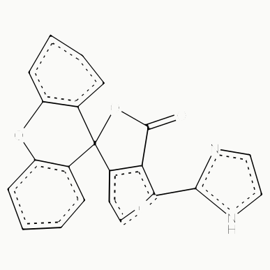 O=C1OC2(c3ccccc3Oc3ccccc32)c2cccc(-c3ncc[nH]3)c21